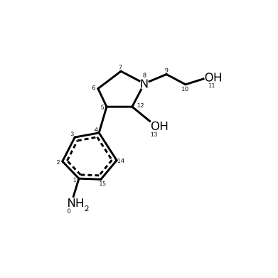 Nc1ccc(C2CCN(CCO)C2O)cc1